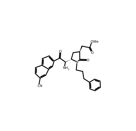 COC(=O)C[C@@H]1C[C@@H](C(N)C(=O)c2ccc3ccc(C#N)cc3c2)N(CCCc2ccccc2)C1=O